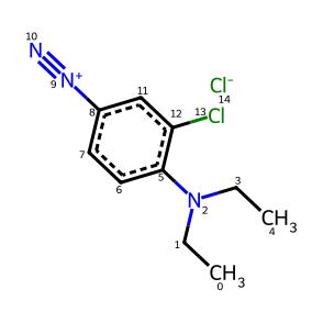 CCN(CC)c1ccc([N+]#N)cc1Cl.[Cl-]